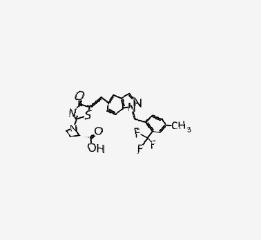 Cc1ccc(Cn2ncc3cc(/C=C4\SC(N5CC[C@H]5C(=O)O)=NC4=O)ccc32)c(C(F)(F)F)c1